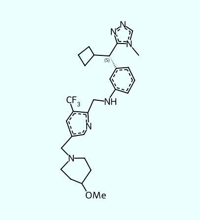 COC1CCN(Cc2cnc(CNc3cccc([C@@H](c4nncn4C)C4CCC4)c3)c(C(F)(F)F)c2)CC1